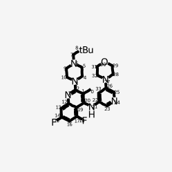 Cc1c(N2CCN(CC(C)(C)C)CC2)nc2cc(F)cc(F)c2c1Nc1cncc(N2CCOCC2)c1